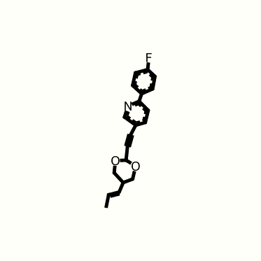 C/C=C/C1COC(C#Cc2ccc(-c3ccc(F)cc3)nc2)OC1